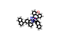 c1ccc(-c2ccc(-c3cccc4oc5cccc(-c6nc(-c7ccc(-c8cccc9ccccc89)cc7)nc(-c7ccc8ccccc8c7)n6)c5c34)cc2)cc1